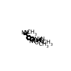 Cc1ncc(C(=O)Nc2cc3cc(-c4cncn4C)ccc3nn2)n1C